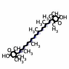 CC1=C(/C=C/C(C)=C/C=C/C(C)=C/C=C/C=C(C)/C=C/C=C(C)/C=C/C2=C(C)C(=O)[C@@H](O)CC2(C)C)C(C)(C)CC(O)C1=O